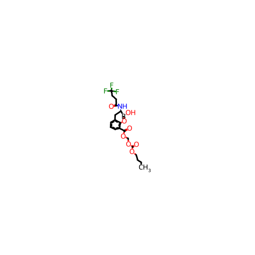 CCCCOC(=O)OCOC(=O)c1cccc2c1OB(O)[C@@H](NC(=O)CCC(F)(F)F)C2